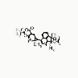 CC1(C)OC(=O)C(=CC2C(c3cnc4c5c(cccc35)[C@@](C)(O)C4(C)C)[C@@]2(C)Cl)C(=O)O1